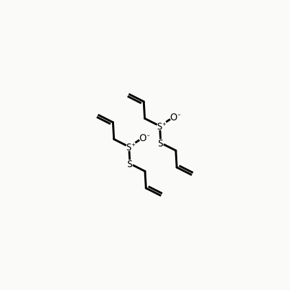 C=CCS[S+]([O-])CC=C.C=CCS[S+]([O-])CC=C